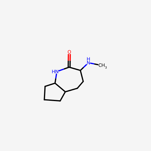 CNC1CCC2CCCC2NC1=O